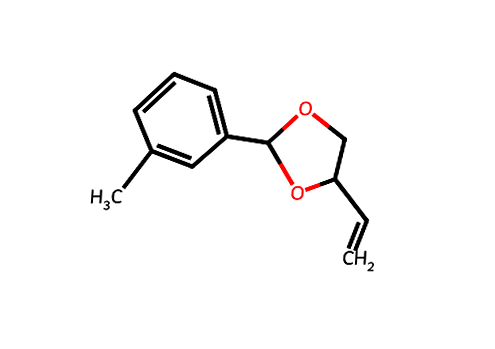 C=CC1COC(c2cccc(C)c2)O1